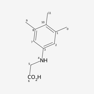 Cc1cc(NCC(=O)O)cc(C)c1C